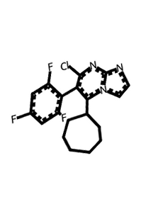 Fc1cc(F)c(-c2c(Cl)nc3nccn3c2C2CCCCCC2)c(F)c1